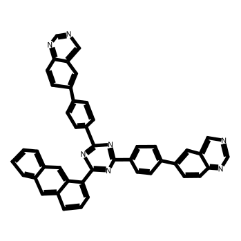 c1ccc2cc3c(-c4nc(-c5ccc(-c6ccc7ncncc7c6)cc5)nc(-c5ccc(-c6ccc7ncncc7c6)cc5)n4)cccc3cc2c1